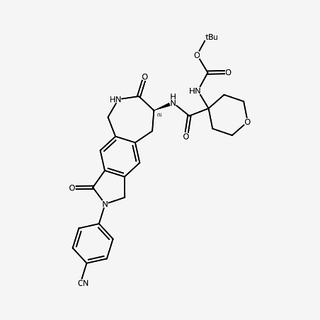 CC(C)(C)OC(=O)NC1(C(=O)N[C@H]2Cc3cc4c(cc3CNC2=O)C(=O)N(c2ccc(C#N)cc2)C4)CCOCC1